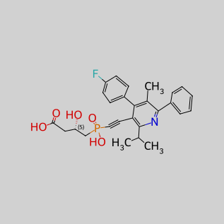 Cc1c(-c2ccccc2)nc(C(C)C)c(C#CP(=O)(O)C[C@@H](O)CC(=O)O)c1-c1ccc(F)cc1